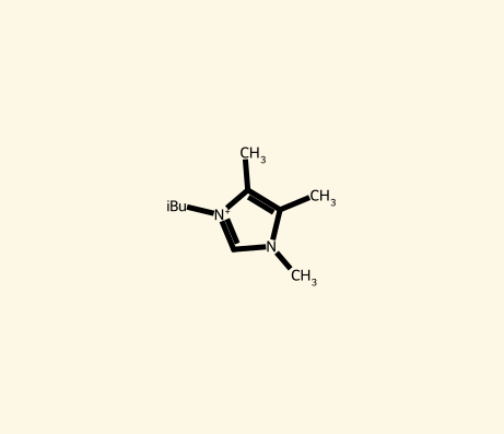 CCC(C)[n+]1cn(C)c(C)c1C